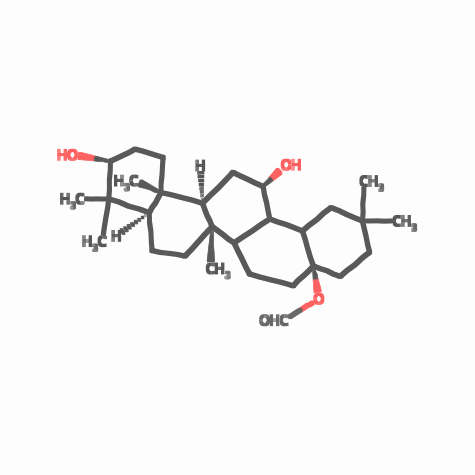 CC1(C)CC[C@]2(OC=O)CCC3C(C2C1)[C@H](O)C[C@@H]1[C@@]2(C)CC[C@H](O)C(C)(C)[C@@H]2CC[C@@]31C